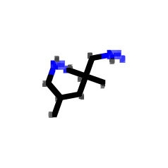 CC(CN)CC(C)(C)CN